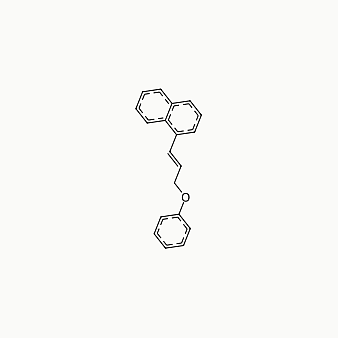 C(=Cc1cccc2ccccc12)COc1ccccc1